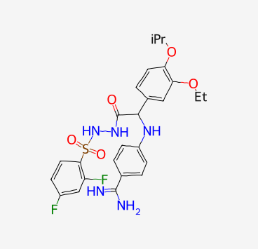 CCOc1cc(C(Nc2ccc(C(=N)N)cc2)C(=O)NNS(=O)(=O)c2ccc(F)cc2F)ccc1OC(C)C